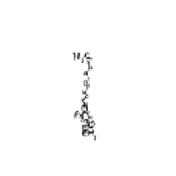 CCCCCCCCCCCCOc1ccc(C(=O)OC)cc1F